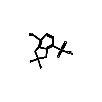 O=S(=O)(c1ccc(Br)c2c1CC(F)(F)C2)C(F)(F)F